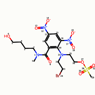 CN(CCCCO)C(=O)c1cc([N+](=O)[O-])cc([N+](=O)[O-])c1N(CCBr)CCOS(C)(=O)=O